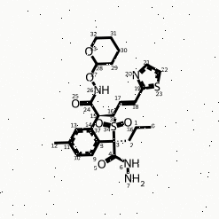 CCC[C@](C(=O)NN)(c1ccc(C)cc1[C@H](C/C=C/c1nccs1)C(=O)NOC1CCCCO1)S(C)(=O)=O